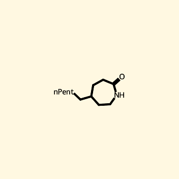 CCCCCCC1CCNC(=O)CC1